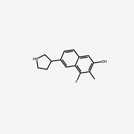 Cc1c(O)cc2ccc(C3CCNC3)cc2c1F